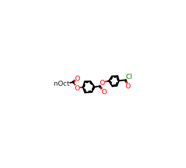 CCCCCCCCC(=O)Oc1ccc(C(=O)Oc2ccc(C(=O)Cl)cc2)cc1